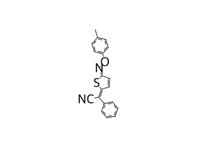 Cc1ccc(ON=C2C=CC(=C(C#N)c3ccccc3)S2)cc1